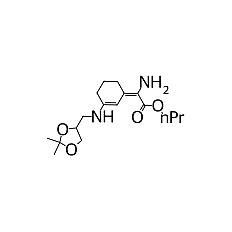 CCCOC(=O)/C(N)=C1\C=C(NCC2COC(C)(C)O2)CCC1